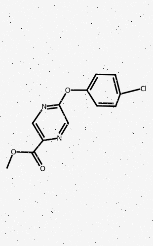 COC(=O)c1cnc(Oc2ccc(Cl)cc2)cn1